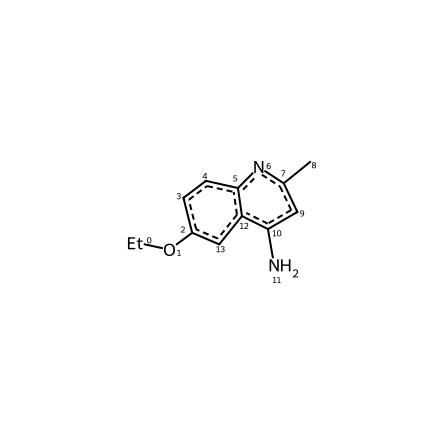 CCOc1ccc2nc(C)cc(N)c2c1